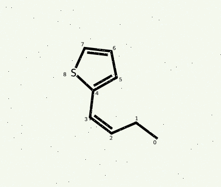 CC/C=[C]\c1cccs1